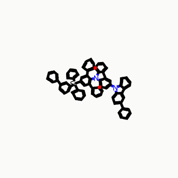 c1ccc(-c2cccc([Si](c3ccccc3)(c3ccccc3)c3cc(-c4ccccc4)c(-n4c5ccccc5c5cc(-n6c7ccccc7c7cc(-c8ccccc8)ccc76)ccc54)c(-c4ccccc4)c3)c2)cc1